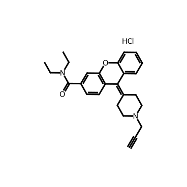 C#CCN1CCC(=C2c3ccccc3Oc3cc(C(=O)N(CC)CC)ccc32)CC1.Cl